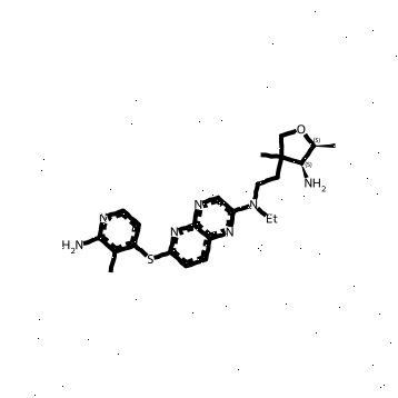 CCN(CCC1(C)CO[C@@H](C)[C@H]1N)c1cnc2nc(Sc3ccnc(N)c3C)ccc2n1